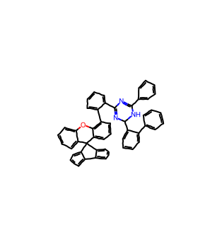 c1ccc(C2=NC(c3ccccc3-c3cccc4c3Oc3ccccc3C43c4ccccc4-c4ccccc43)=NC(c3ccccc3-c3ccccc3)N2)cc1